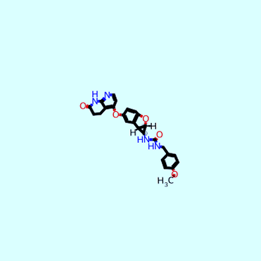 COc1ccc(CNC(=O)N[C@@H]2[C@H]3Oc4ccc(Oc5ccnc6c5CCC(=O)N6)cc4[C@@H]23)cc1